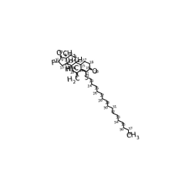 C=C1C[C@@H]2[C@H](CC[C@]3(C)C(=O)[C@H](F)C[C@@H]23)[C@@]2(C)CCC(=O)C(SCCCCCCCCCCCCCCCC)=C12